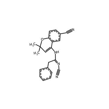 CC1(C)C=C(N/C(Cc2ccccc2)=N/C#N)c2cc(C#N)ccc2O1